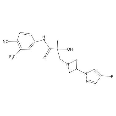 CC(O)(CN1CC(n2cc(F)cn2)C1)C(=O)Nc1ccc(C#N)c(C(F)(F)F)c1